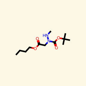 CCCCOC(=O)CN(NC)C(=O)OC(C)(C)C